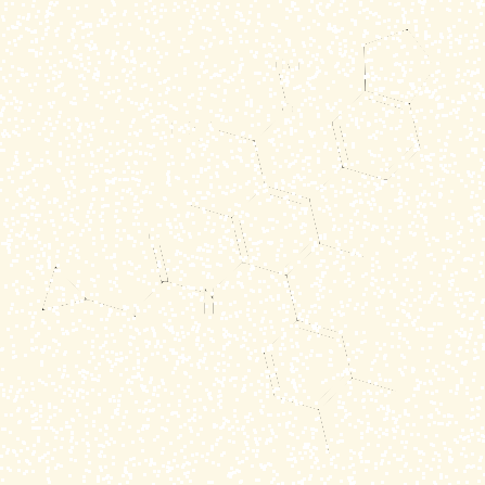 Cc1ccc(-c2c(C)c(-c3ccc4c(c3)CCO4)c(C(OC(C)(C)C)C(=O)O)c(C)c2NC(=O)NC2CC2)cc1C